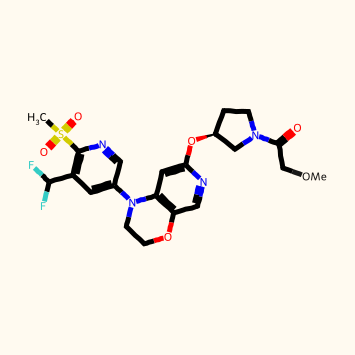 COCC(=O)N1CC[C@H](Oc2cc3c(cn2)OCCN3c2cnc(S(C)(=O)=O)c(C(F)F)c2)C1